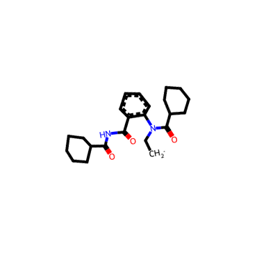 [CH2]CN(C(=O)C1CCCCC1)c1ccccc1C(=O)NC(=O)C1CCCCC1